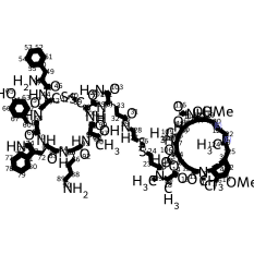 COc1cc2cc(c1Cl)N(C)C(=O)C[C@H](OC(=O)[C@H](C)N(C)C(=O)CCSSCCNC(=O)CC[C@H](NC(=O)[C@@H]1CSSC[C@H](NC(=O)[C@H](N)Cc3ccccc3)C(=O)N[C@@H](Cc3ccc(O)cc3)C(=O)N[C@H](Cc3c[nH]c4ccccc34)C(=O)N[C@@H](CCCCN)C(=O)N[C@@H]([C@@H](C)O)C(=O)N1)C(N)=O)[C@]1(C)O[C@H]1[C@H](C)[C@@H]1C[C@@](O)(NC(=O)O1)[C@H](OC)/C=C/C=C(\C)C2